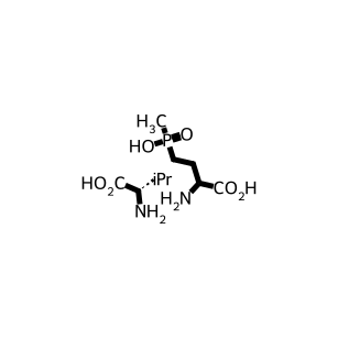 CC(C)[C@H](N)C(=O)O.CP(=O)(O)CCC(N)C(=O)O